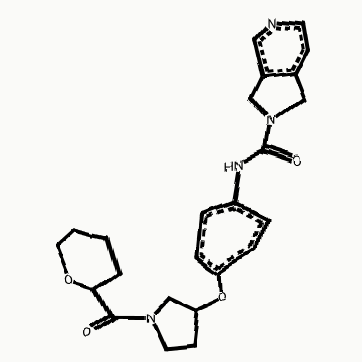 O=C(Nc1ccc(OC2CCN(C(=O)C3CCCCO3)C2)cc1)N1Cc2ccncc2C1